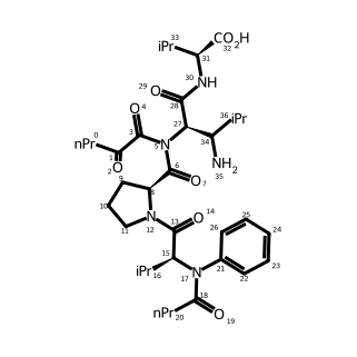 CCCC(=O)C(=O)N(C(=O)[C@@H]1CCCN1C(=O)[C@H](C(C)C)N(C(=O)CCC)c1ccccc1)[C@@H](C(=O)N[C@H](C(=O)O)C(C)C)C(N)C(C)C